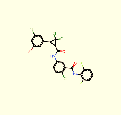 O=C(Nc1c(F)cccc1F)c1cc(NC(=O)C2C(c3cc(Cl)cc(Br)c3)C2(Cl)Cl)ccc1Cl